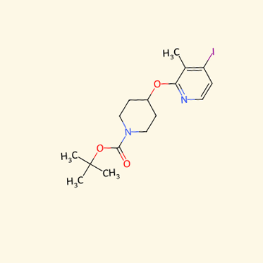 Cc1c(I)ccnc1OC1CCN(C(=O)OC(C)(C)C)CC1